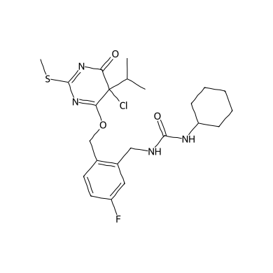 CSC1=NC(=O)C(Cl)(C(C)C)C(OCc2ccc(F)cc2CNC(=O)NC2CCCCC2)=N1